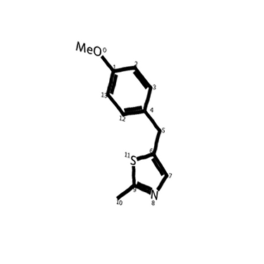 COc1ccc(Cc2cnc(C)s2)cc1